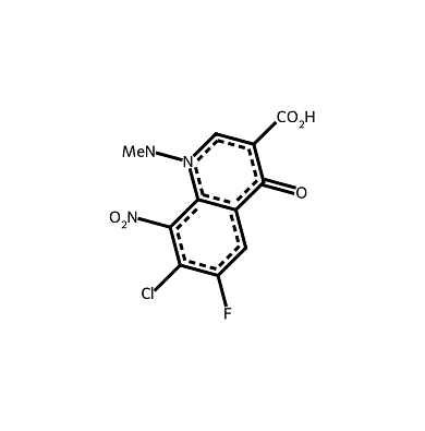 CNn1cc(C(=O)O)c(=O)c2cc(F)c(Cl)c([N+](=O)[O-])c21